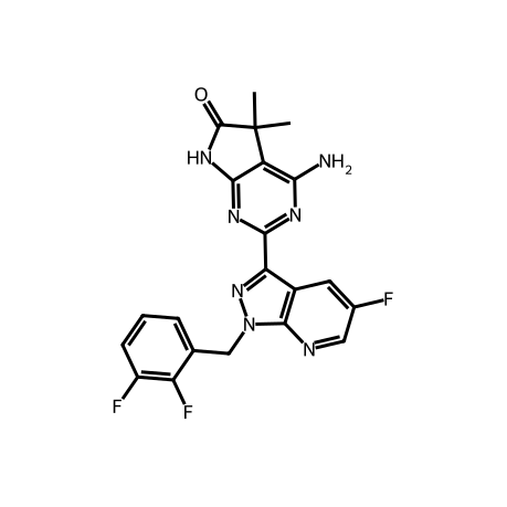 CC1(C)C(=O)Nc2nc(-c3nn(Cc4cccc(F)c4F)c4ncc(F)cc34)nc(N)c21